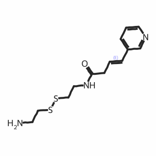 NCCSSCCNC(=O)C/C=C/c1cccnc1